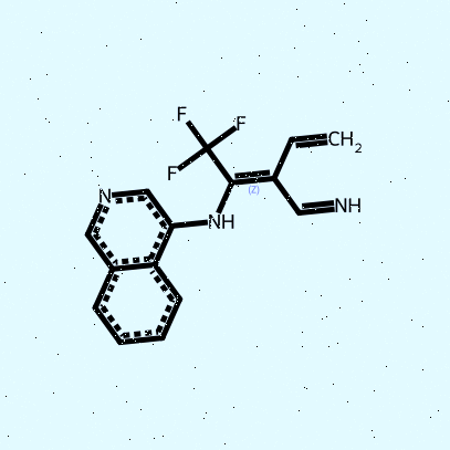 C=C/C(C=N)=C(/Nc1cncc2ccccc12)C(F)(F)F